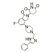 O=C1CCC(N2Cc3c(cc(F)cc3N3CCN(Cc4ncc(-c5ccccc5)[nH]4)CC3)C2=O)C(=O)N1